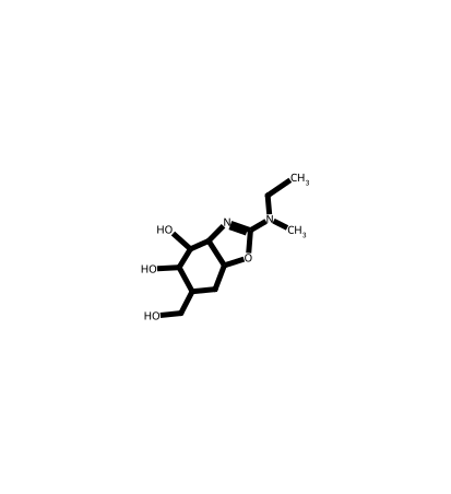 CCN(C)C1=NC2C(CC(CO)C(O)C2O)O1